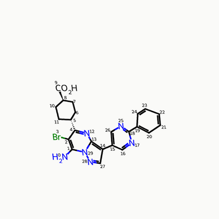 Nc1c(Br)c([C@H]2CC[C@H](C(=O)O)CC2)nc2c(-c3cnc(-c4ccccc4)nc3)cnn12